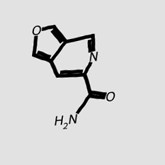 NC(=O)c1cc2cocc2cn1